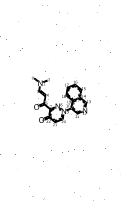 CN(C)C=CC(=O)c1nn(-c2cncc3ccccc23)ccc1=O